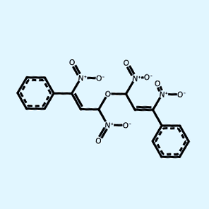 O=[N+]([O-])C(=CC(OC(C=C(c1ccccc1)[N+](=O)[O-])[N+](=O)[O-])[N+](=O)[O-])c1ccccc1